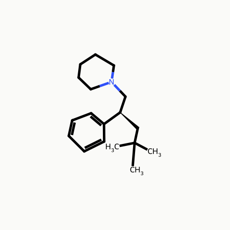 CC(C)(C)C[C@H](CN1CCCCC1)c1ccccc1